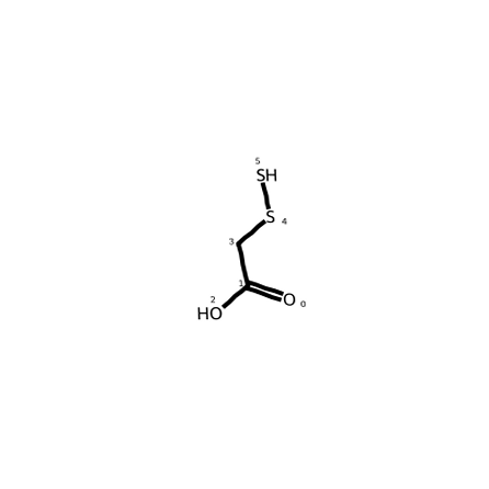 O=C(O)CSS